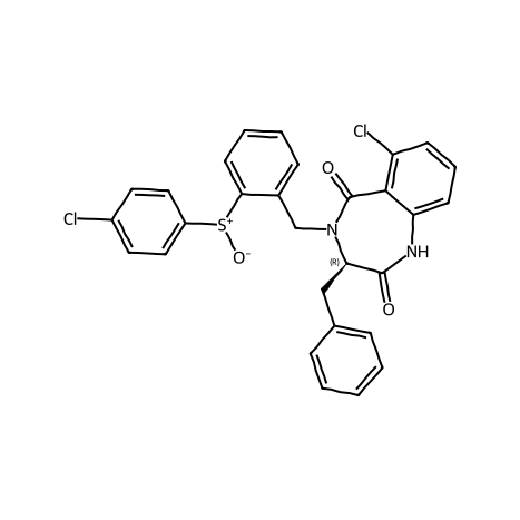 O=C1Nc2cccc(Cl)c2C(=O)N(Cc2ccccc2[S+]([O-])c2ccc(Cl)cc2)[C@@H]1Cc1ccccc1